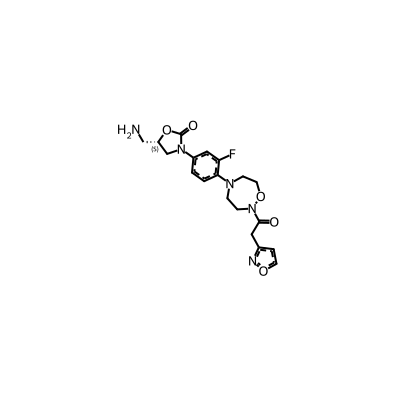 NC[C@H]1CN(c2ccc(N3CCON(C(=O)Cc4ccon4)CC3)c(F)c2)C(=O)O1